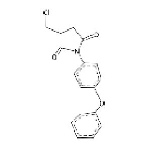 O=C1CC(CCl)C(=O)N1c1ccc(Oc2ccccc2)cc1